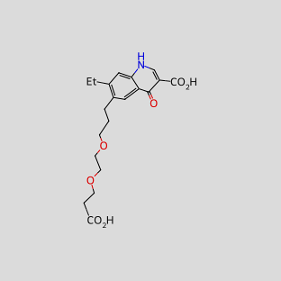 CCc1cc2[nH]cc(C(=O)O)c(=O)c2cc1CCCOCCOCCC(=O)O